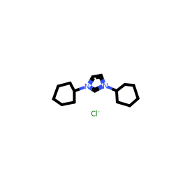 [Cl-].c1c[n+](C2CCCCC2)cn1C1CCCCC1